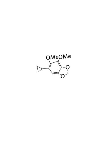 COc1c(C2CC2)cc2c(c1OC)OCO2